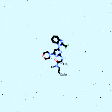 CCN(CCOC)C(=O)[C@H](C)Nc1nc(N2CCOCC2)cc(-n2c(C(F)F)nc3ccccc32)n1